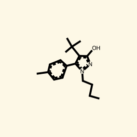 CCCCn1nc(O)c(C(C)(C)C)c1-c1ccc(C)cc1